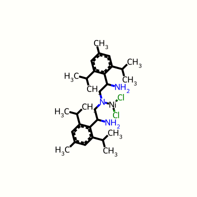 Cc1cc(C(C)C)c(C(N)C[N](CC(N)c2c(C(C)C)cc(C)cc2C(C)C)[Ni]([Cl])[Cl])c(C(C)C)c1